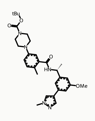 COc1cc(-c2cnn(C)c2)cc([C@@H](C)NC(=O)c2cc(N3CCN(C(=O)OC(C)(C)C)CC3)ccc2C)c1